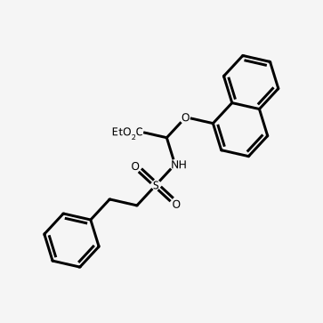 CCOC(=O)C(NS(=O)(=O)CCc1ccccc1)Oc1cccc2ccccc12